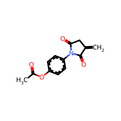 C=C1CC(=O)N(c2ccc(OC(C)=O)cc2)C1=O